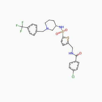 O=C(NCc1ccc(S(=O)(=O)NC2CCCN(Cc3ccc(C(F)(F)F)cc3)C2)s1)c1ccc(Cl)cc1